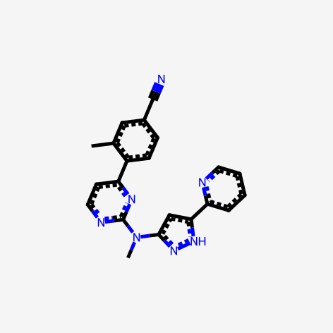 Cc1cc(C#N)ccc1-c1ccnc(N(C)c2cc(-c3ccccn3)[nH]n2)n1